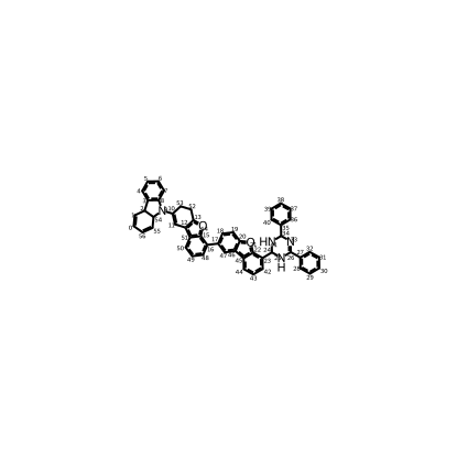 C1=CC2c3ccccc3N(C3=Cc4c(oc5c(-c6ccc7oc8c(C9NC(c%10ccccc%10)=NC(c%10ccccc%10)N9)cccc8c7c6)cccc45)CC3)C2C=C1